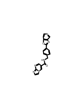 O=C(NCc1ccc(-c2nc3cnccc3o2)cc1)c1cnc2nccn2c1